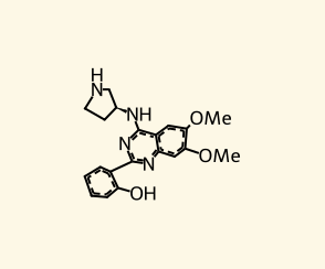 COc1cc2nc(-c3ccccc3O)nc(N[C@H]3CCNC3)c2cc1OC